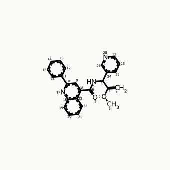 C=C(OC)C(NC(=O)c1cc(-c2ccccc2)nc2ccccc12)c1cccnc1